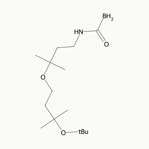 BC(=O)NCCC(C)(C)OCCC(C)(C)OC(C)(C)C